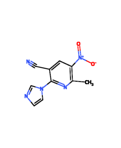 Cc1nc(-n2ccnc2)c(C#N)cc1[N+](=O)[O-]